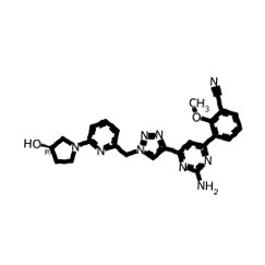 COc1c(C#N)cccc1-c1cc(-c2cn(Cc3cccc(N4CC[C@@H](O)C4)n3)nn2)nc(N)n1